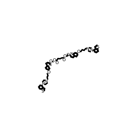 O=C(CCCC(=O)OCOc1ccc2ccc(OCCCCN3CCN(c4cccc5sccc45)CC3)cc2n1)OCOc1ccc2ccc(OCCCCN3CCN(c4cccc5sccc45)CC3)cc2n1